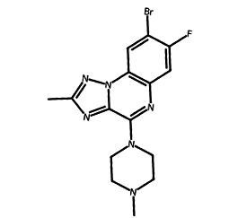 Cc1nc2c(N3CCN(C)CC3)nc3cc(F)c(Br)cc3n2n1